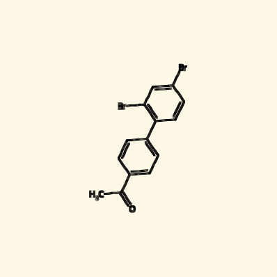 CC(=O)c1ccc(-c2ccc(Br)cc2Br)cc1